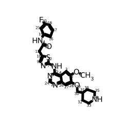 COc1cc2c(Nc3ncc(CC(=O)Nc4cccc(F)c4)s3)ncnc2cc1OCC1CCNCC1